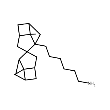 CC12C3CC1CC1(CC4CC5CC1(CCCCCCN)C45C)C2C3